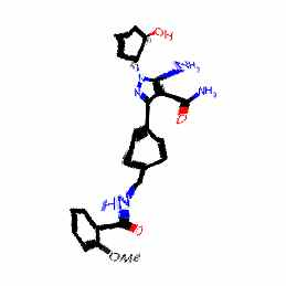 COc1ccccc1C(=O)NCc1ccc(-c2nn([C@@H]3CCC[C@H]3O)c(N)c2C(N)=O)cc1